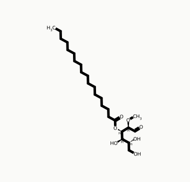 CCCCCCCCCCCCCCCCCC(=O)O[C@@H]([C@H](O)[C@H](O)CO)[C@H](C=O)OC